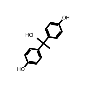 CC(C)(c1ccc(O)cc1)c1ccc(O)cc1.Cl